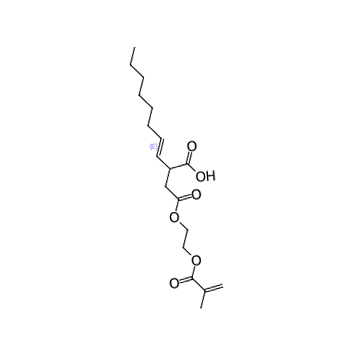 C=C(C)C(=O)OCCOC(=O)CC(/C=C/CCCCCC)C(=O)O